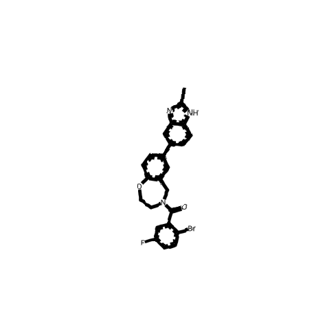 Cc1nc2cc(-c3ccc4c(c3)CN(C(=O)c3cc(F)ccc3Br)CCO4)ccc2[nH]1